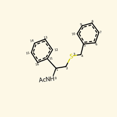 CC(=O)NC(CSCc1ccccc1)c1ccccc1